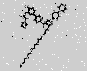 COCCOCCOCCOCCOCCOc1nn(C2CCC(N3CCOCC3)CC2)cc1Nc1ncc(-c2ccc(Cl)c(O[C@@H](C)Cn3cncn3)c2)cn1